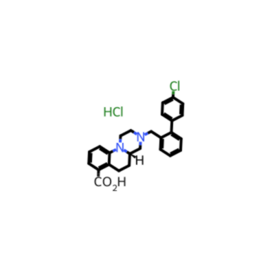 Cl.O=C(O)c1cccc2c1CC[C@H]1CN(Cc3ccccc3-c3ccc(Cl)cc3)CCN21